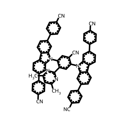 Cc1cc(C)nc(-c2cc(-n3c4cc(-c5ccc(C#N)cc5)ccc4c4ccc(-c5ccc(C#N)cc5)cc43)c(C#N)cc2-n2c3cc(-c4ccc(C#N)cc4)ccc3c3ccc(-c4ccc(C#N)cc4)cc32)n1